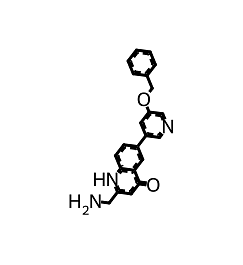 NCc1cc(=O)c2cc(-c3cncc(OCc4ccccc4)c3)ccc2[nH]1